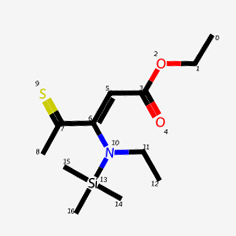 CCOC(=O)C=C(C(C)=S)N(CC)[Si](C)(C)C